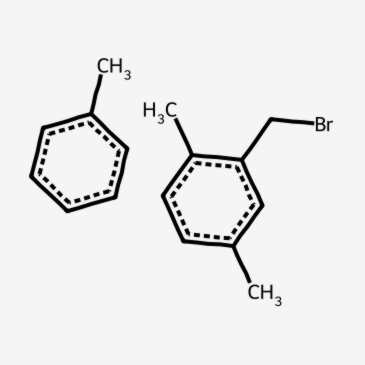 Cc1ccc(C)c(CBr)c1.Cc1ccccc1